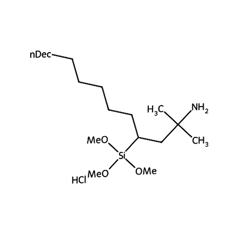 CCCCCCCCCCCCCCCC(CC(C)(C)N)[Si](OC)(OC)OC.Cl